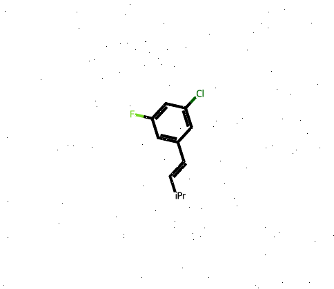 CC(C)/C=C/c1cc(F)cc(Cl)c1